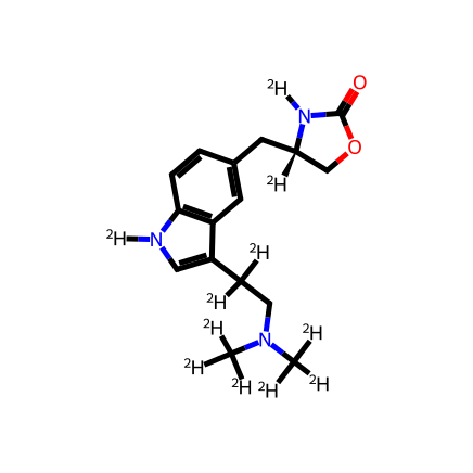 [2H]N1C(=O)OC[C@]1([2H])Cc1ccc2c(c1)c(C([2H])([2H])CN(C([2H])([2H])[2H])C([2H])([2H])[2H])cn2[2H]